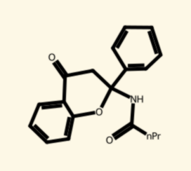 CCCC(=O)NC1(c2ccccc2)CC(=O)c2ccccc2O1